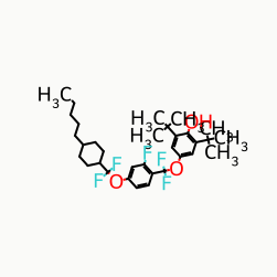 CCCCCC1CCC(C(F)(F)Oc2ccc(C(F)(F)Oc3cc(C(C)(C)C)c(O)c(C(C)(C)C)c3)c(F)c2)CC1